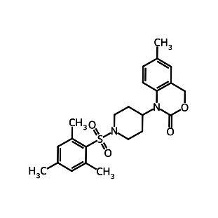 Cc1cc(C)c(S(=O)(=O)N2CCC(N3C(=O)OCc4cc(C)ccc43)CC2)c(C)c1